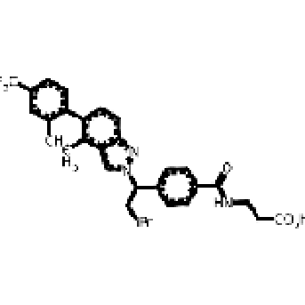 Cc1cc(C(F)(F)F)ccc1-c1ccc2nn(C(CC(C)C)c3ccc(C(=O)NCCC(=O)O)cc3)cc2c1C